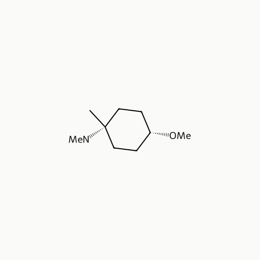 CN[C@]1(C)CC[C@H](OC)CC1